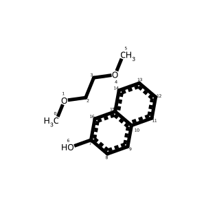 COCCOC.Oc1ccc2ccccc2c1